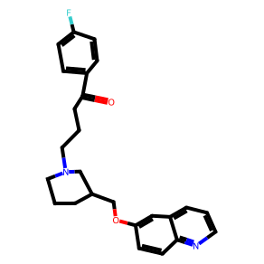 O=C(CCCN1CCCC(COc2ccc3ncccc3c2)C1)c1ccc(F)cc1